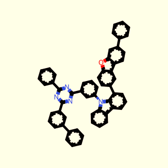 c1ccc(-c2cccc(-c3nc(-c4ccccc4)nc(-c4cccc(-n5c6ccccc6c6cccc(-c7ccc8oc9cc(-c%10ccccc%10)ccc9c8c7)c65)c4)n3)c2)cc1